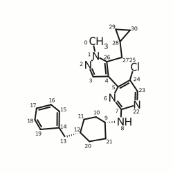 Cn1ncc(-c2nc(N[C@H]3CC[C@@H](Cc4ccccc4)CC3)ncc2Cl)c1CC1CC1